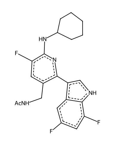 CC(=O)NCc1cc(F)c(NC2CCCCC2)nc1-c1c[nH]c2c(F)cc(F)cc12